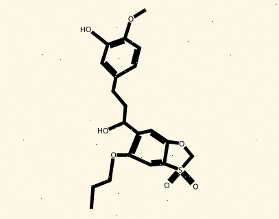 CCCOc1cc2c(cc1C(O)CCc1ccc(OC)c(O)c1)OCS2(=O)=O